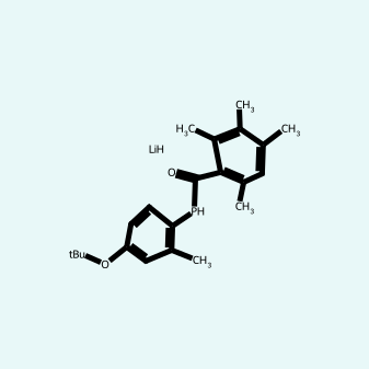 Cc1cc(OC(C)(C)C)ccc1PC(=O)c1c(C)cc(C)c(C)c1C.[LiH]